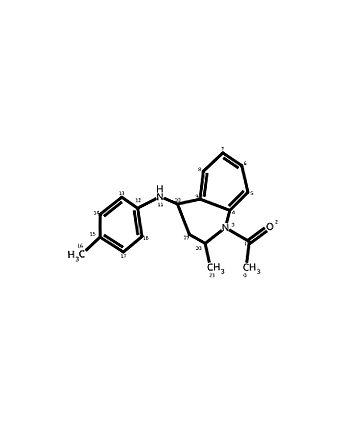 CC(=O)N1c2ccccc2C(Nc2ccc(C)cc2)CC1C